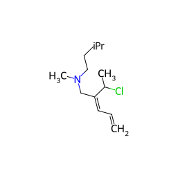 C=C/C=C(/CN(C)CCC(C)C)C(C)Cl